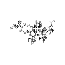 CCC=CC(C)(F)NCC(C)(C(=O)Nc1nccn1Cc1ccc(C(F)(F)F)cc1N1CCC(C(=O)OCC)CC1)C(F)(F)F